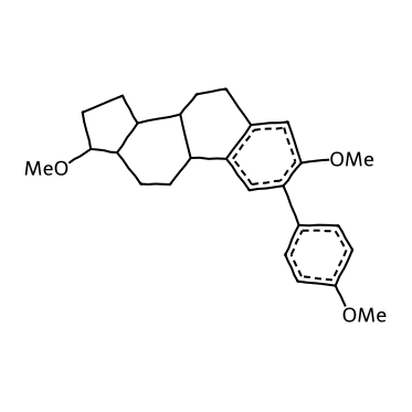 COc1ccc(-c2cc3c(cc2OC)CCC2C3CCC3C(OC)CCC32)cc1